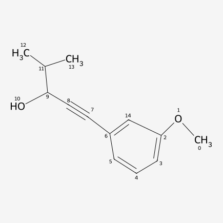 COc1cccc(C#CC(O)C(C)C)c1